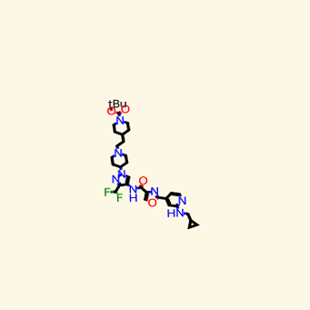 CC(C)(C)OC(=O)N1CCC(CCN2CCC(n3cc(NC(=O)c4coc(-c5ccnc(NCC6CC6)c5)n4)c(C(F)F)n3)CC2)CC1